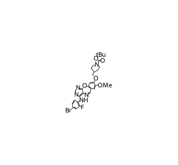 COc1cc2c(cc1OCC1CCN(C(=O)OC(C)(C)C)CC1)Oc1ncnc(Nc3ccc(Br)cc3F)c1N=C2